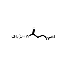 [CH2]COCCC(=O)N(C)O